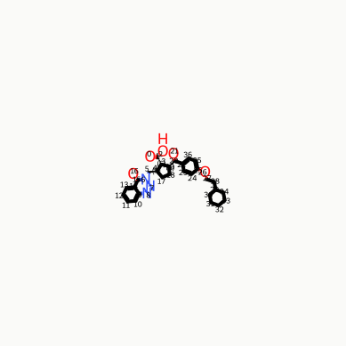 O=C(O)[C@H]1[C@H](Cn2nnc3ccccc3c2=O)CC[C@@H]1C(=O)c1ccc(OCCC2CCCCC2)cc1